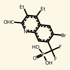 CCc1c(C=O)nc2cc(C(F)(F)P(=O)(O)O)c(Br)cc2c1CC